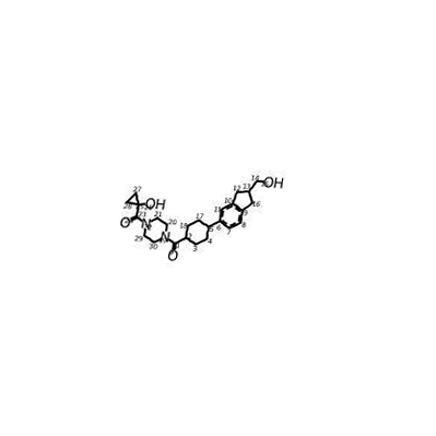 O=C(C1CCC(c2ccc3c(c2)CC(CO)C3)CC1)N1CCN(C(=O)C2(O)CC2)CC1